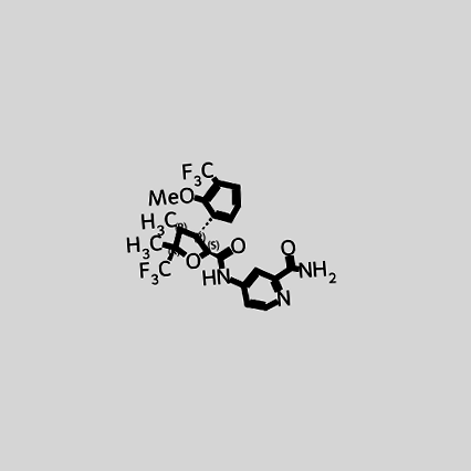 COc1c([C@@H]2[C@@H](C(=O)Nc3ccnc(C(N)=O)c3)O[C@@](C)(C(F)(F)F)[C@@H]2C)cccc1C(F)(F)F